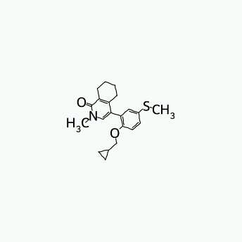 CSc1ccc(OCC2CC2)c(-c2cn(C)c(=O)c3c2CCCC3)c1